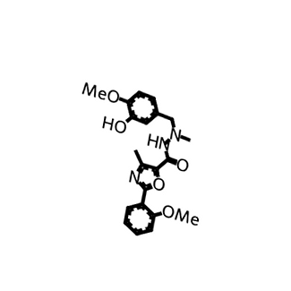 COc1ccc(CN(C)NC(=O)c2oc(-c3ccccc3OC)nc2C)cc1O